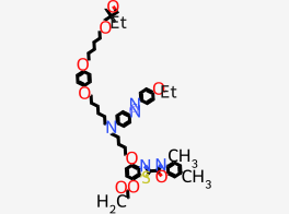 C=CC(=O)Oc1ccc(OCCCCCN(CCCCCCOc2ccc(OCCCCCCOCC3(CC)COC3)cc2)c2ccc(/N=N/c3ccc(OCC)cc3)cc2)c2nc(-c3nc4c(C)cc(C)cc4o3)sc12